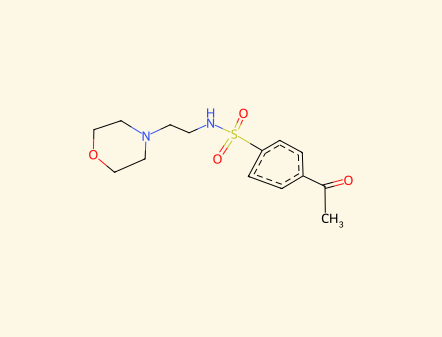 CC(=O)c1ccc(S(=O)(=O)NCCN2CCOCC2)cc1